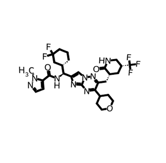 Cn1nccc1C(=O)N[C@H](c1cn2nc(C[C@H]3C[C@@H](C(F)(F)F)CNC3=O)c(C3CCOCC3)nc2n1)[C@H]1CCCC(F)(F)C1